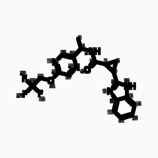 CC(NC(=O)C1CC1c1nc2ccccc2[nH]1)c1cnc(OCC(F)(F)F)cn1